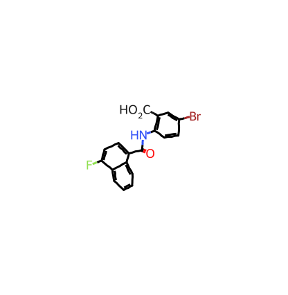 O=C(O)c1cc(Br)ccc1NC(=O)c1ccc(F)c2ccccc12